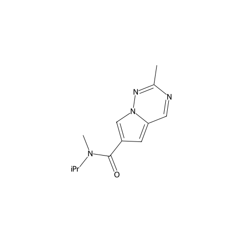 Cc1ncc2cc(C(=O)N(C)C(C)C)cn2n1